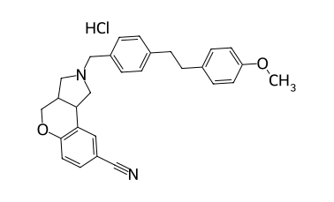 COc1ccc(CCc2ccc(CN3CC4COc5ccc(C#N)cc5C4C3)cc2)cc1.Cl